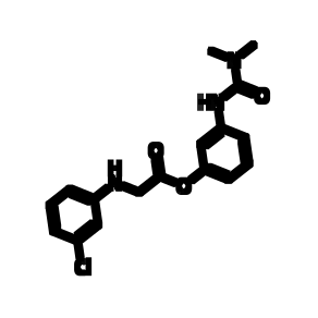 CN(C)C(=O)Nc1cccc(OC(=O)CNc2cccc(Cl)c2)c1